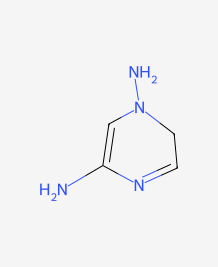 NC1=CN(N)CC=N1